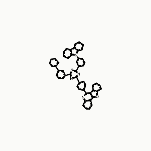 c1ccc(-c2cccc(-c3nc(-c4ccc(-c5nc6ccccc6c6oc7ccccc7c56)cc4)nc(-c4cccc(-n5c6ccccc6c6ccccc65)c4)n3)c2)cc1